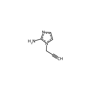 C#CCn1ccnc1N